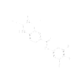 CN1C(C(F)(F)F)Nc2ccc(C(=O)Nc3cc(F)c(F)c(F)c3)cc2[S+]1[O-]